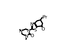 CC(C)C1CC(=O)c2sc(N3CN(C)CN(C)C3=O)nc2C1